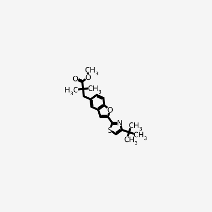 COC(=O)C(C)(C)Cc1ccc2oc(-c3nc(C(C)(C)C)cs3)cc2c1